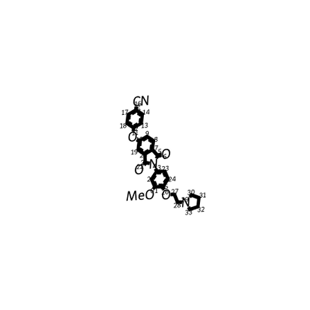 COc1cc(N2C(=O)c3ccc(Oc4ccc(C#N)cc4)cc3C2=O)ccc1OCCN1CCCC1